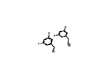 Fc1cc(F)cc(CBr)c1.Fc1cc(F)cc(CBr)c1